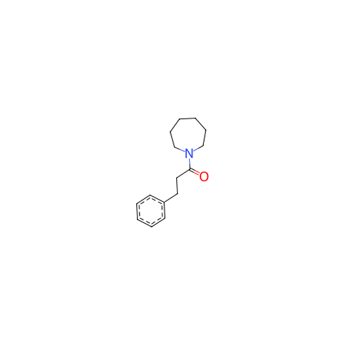 O=C(CCc1ccccc1)N1CCCCCC1